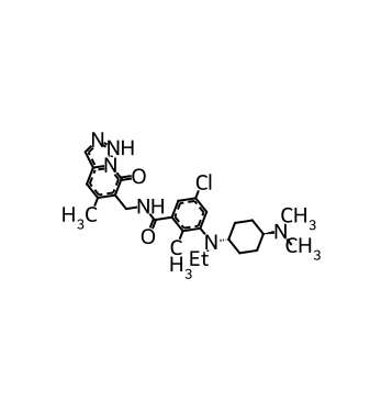 CCN(c1cc(Cl)cc(C(=O)NCc2c(C)cc3cn[nH]n3c2=O)c1C)[C@H]1CC[C@H](N(C)C)CC1